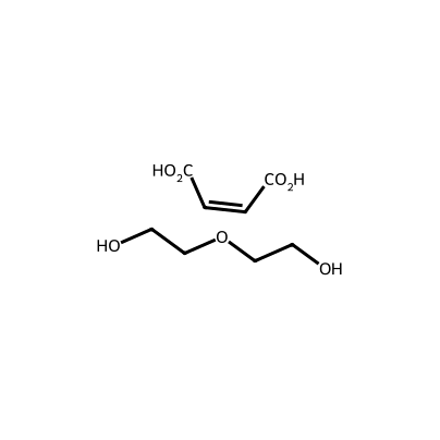 O=C(O)/C=C\C(=O)O.OCCOCCO